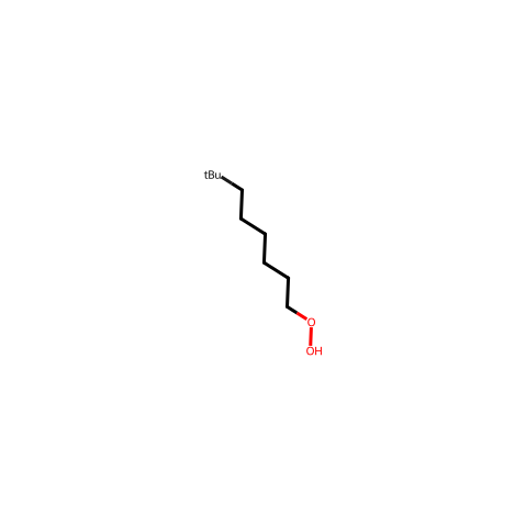 CC(C)(C)CCCCCCOO